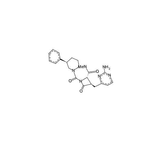 CNC(=O)[C@@H]1[C@@H](Cc2ccnc(N)n2)C(=O)N1C(=O)N1CCC[C@H](c2ccccc2)C1